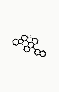 CC1CC=CC2=C(c3ccc4ccccc4c3)C3=C(C=CCC3)C(C3CC=CC4=C3SC3C=CCCC43)C21